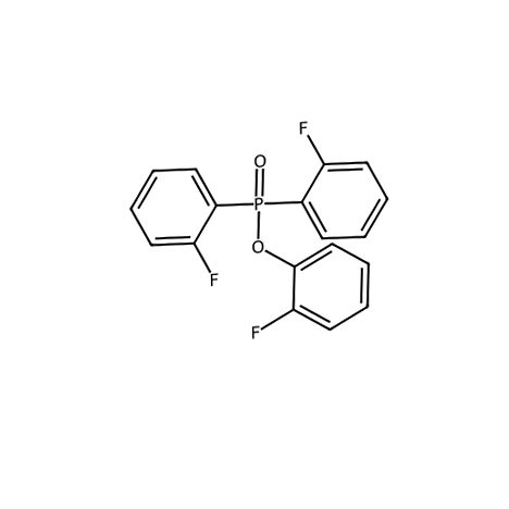 O=P(Oc1ccccc1F)(c1ccccc1F)c1ccccc1F